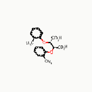 Cc1ccccc1O[C@H](C(=O)O)[C@H](Oc1ccccc1C)C(=O)O